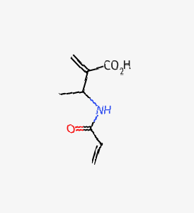 C=CC(=O)NC(C)C(=C)C(=O)O